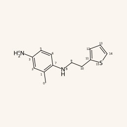 Cc1cc(N)ccc1NCCc1cccs1